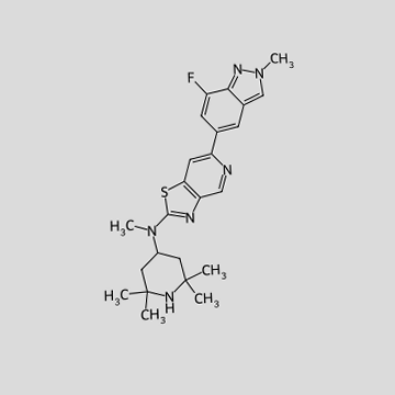 CN(c1nc2cnc(-c3cc(F)c4nn(C)cc4c3)cc2s1)C1CC(C)(C)NC(C)(C)C1